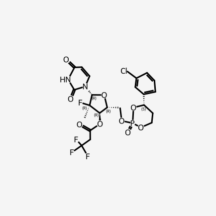 C[C@@]1(F)[C@H](OC(=O)CC(F)(F)F)[C@@H](COP2(=O)OCC[C@@H](c3cccc(Cl)c3)O2)O[C@H]1n1ccc(=O)[nH]c1=O